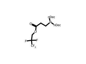 CCCCCCCCCCN(CCCCCCCCCC)CCC(=O)OCC(F)(F)C(F)(F)F